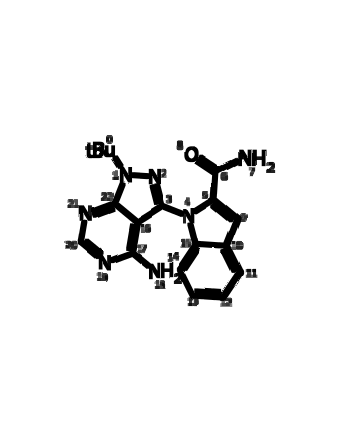 CC(C)(C)n1nc(-n2c(C(N)=O)cc3ccccc32)c2c(N)ncnc21